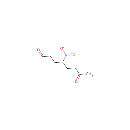 CC(=O)CCC(CCC=O)[N+](=O)[O-]